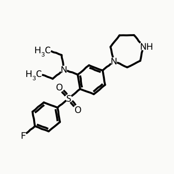 CCN(CC)c1cc(N2CCCNCC2)ccc1S(=O)(=O)c1ccc(F)cc1